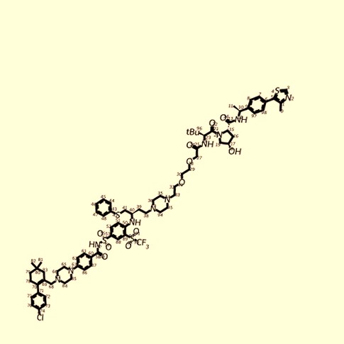 Cc1ncsc1-c1ccc([C@H](C)NC(=O)[C@@H]2C[C@@H](O)CN2C(=O)[C@@H](NC(=O)COCCOCCN2CCN(CC[C@H](CSc3ccccc3)Nc3ccc(S(=O)(=O)NC(=O)c4ccc(N5CCN(CC6=C(c7ccc(Cl)cc7)CCC(C)(C)C6)CC5)cc4)cc3S(=O)(=O)C(F)(F)F)CC2)C(C)(C)C)cc1